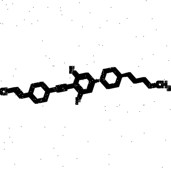 CCCCC[C@H]1CC[C@H](c2cc(F)c(C#CC3CCC(/C=C/Cl)CC3)c(F)c2)CC1